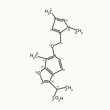 Cc1cc(COc2ccc3c(C(C)C(=O)O)coc3c2C)n(C)n1